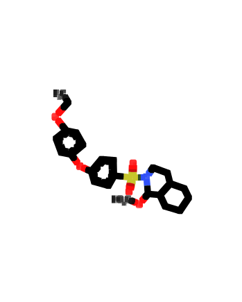 O=C(O)OC1C2CCCCC2CCN1S(=O)(=O)c1ccc(Oc2ccc(OCC(F)(F)F)cc2)cc1